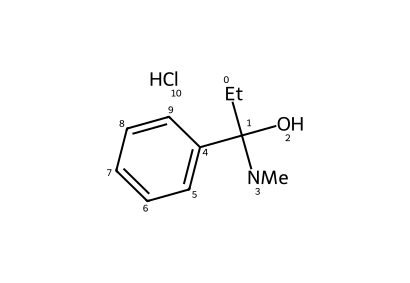 CCC(O)(NC)c1ccccc1.Cl